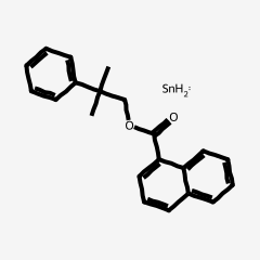 CC(C)(COC(=O)c1cccc2ccccc12)c1ccccc1.[SnH2]